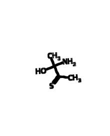 CC(=S)C(C)(N)O